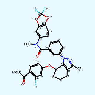 COC(=O)c1ccc(OC2CCCc3c(C(F)(F)F)nn(-c4cccc(C(=O)N(C)c5ccc6c(c5)OC(F)(F)O6)c4)c32)cc1F